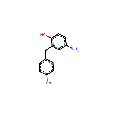 N#Cc1ccc(Cc2cc(N)ccc2O)cc1